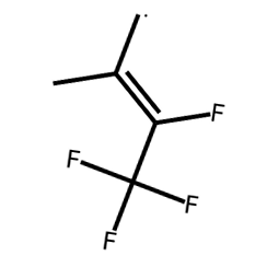 [CH2]C(C)=C(F)C(F)(F)F